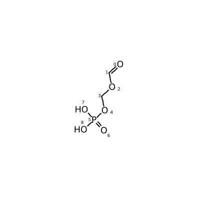 O=COCOP(=O)(O)O